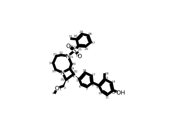 COC[C@@H]1[C@@H](c2ccc(-c3ccc(O)cc3C)cc2)C2CN(S(=O)(=O)c3ccccc3C)CCCCN21